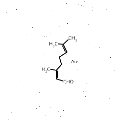 CC(C)=CCCC(C)=CC=O.[Au]